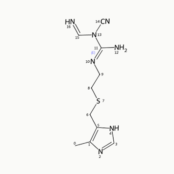 Cc1nc[nH]c1CSCC/N=C(\N)N(C#N)C=N